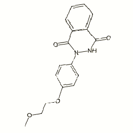 COCCOc1ccc(-n2[nH]c(=O)c3ccccc3c2=O)cc1